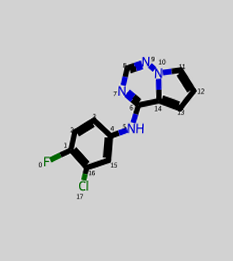 Fc1ccc(Nc2ncnn3cccc23)cc1Cl